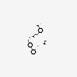 N=C(N)c1cccc(C[C@H](N)C(=O)NS(=O)(=O)Cc2ccc(-c3ccccc3S(N)(=O)=O)cc2)c1.O=C(O)C(F)(F)F